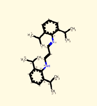 CC(C)c1cccc(C(C)C)c1N=CC=CNc1c(C(C)C)cccc1C(C)C